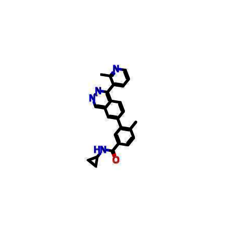 Cc1ccc(C(=O)NC2CC2)cc1-c1ccc2c(-c3cccnc3C)nncc2c1